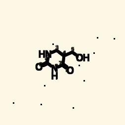 O=C1NCC(CO)C(=O)N1